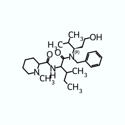 CCC(C)C(NC(=O)C1CCCCN1C)C(=O)N(Cc1ccccc1)[C@H](CCO)C(C)C